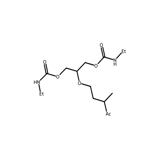 CCNC(=O)OCC(COC(=O)NCC)OCCC(C)C(C)=O